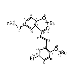 CCCCOc1ccc(OCCCC)c(C(=O)C=Cc2cc(CC)ccc2OCCCC)c1